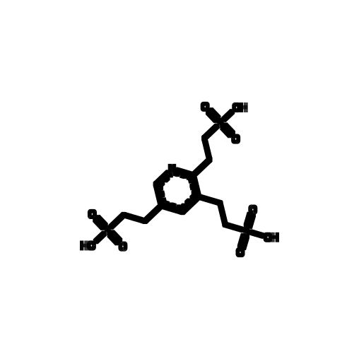 O=S(=O)(O)CCc1cnc(CCS(=O)(=O)O)c(CCS(=O)(=O)O)c1